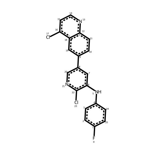 Fc1ccc(Nc2cc(-c3ccc4nccc(Cl)c4c3)cnc2Cl)cc1